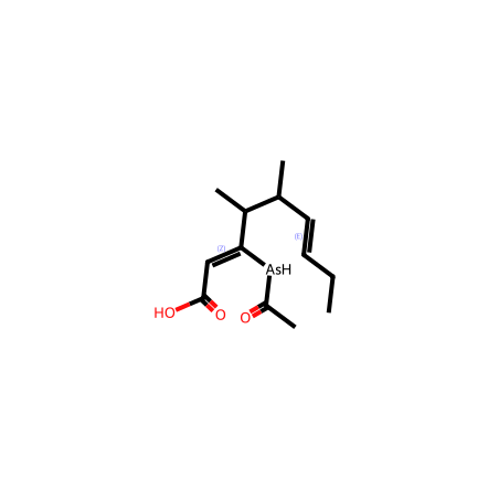 CC/C=C/C(C)C(C)/C(=C/C(=O)O)[AsH]C(C)=O